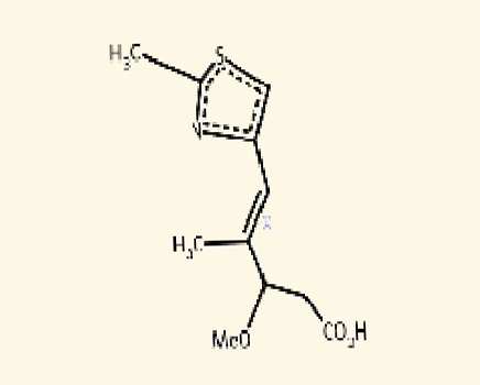 COC(CC(=O)O)/C(C)=C/c1csc(C)n1